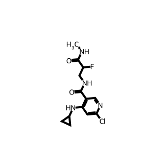 CNC(=O)C(F)CNC(=O)c1cnc(Cl)cc1NC1CC1